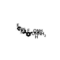 N=C(N)NC(=O)OCc1cccc(-c2cnc(N3CC[C@H](F)C3)nc2)c1F